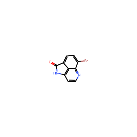 O=C1Nc2ccnc3c(Br)ccc1c23